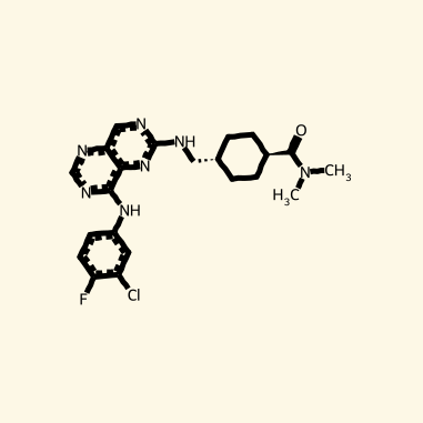 CN(C)C(=O)[C@H]1CC[C@H](CNc2ncc3ncnc(Nc4ccc(F)c(Cl)c4)c3n2)CC1